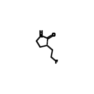 O=C1NCCC1CCF